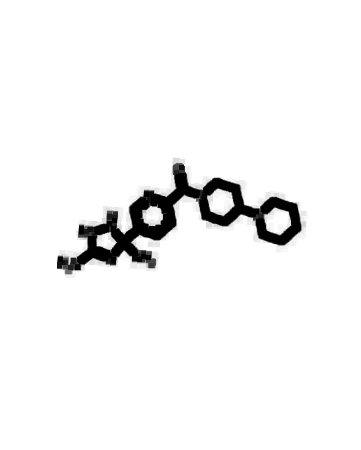 NC1=NC(N)(c2ccc(C(=O)N3CCC(N4CCCCC4)CC3)nc2)NN1